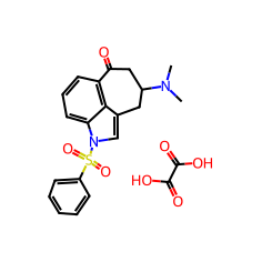 CN(C)C1CC(=O)c2cccc3c2c(cn3S(=O)(=O)c2ccccc2)C1.O=C(O)C(=O)O